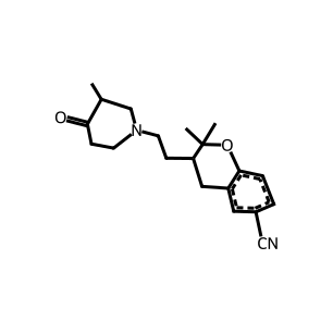 CC1CN(CCC2Cc3cc(C#N)ccc3OC2(C)C)CCC1=O